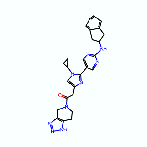 O=C(Cc1cn(C2CC2)c(-c2cnc(NC3Cc4ccccc4C3)nc2)n1)N1CCc2[nH]nnc2C1